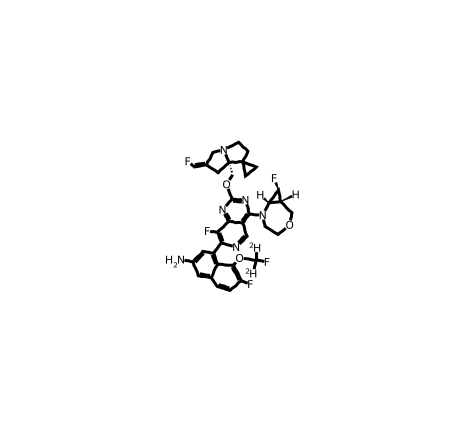 [2H]C([2H])(F)Oc1c(F)ccc2cc(N)cc(-c3ncc4c(N5CCOC[C@H]6[C@H](F)[C@H]65)nc(OC[C@]56C/C(=C/F)CN5CCC65CC5)nc4c3F)c12